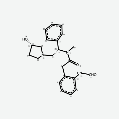 CN(C(=O)Cc1ccccc1NC=O)[C@H](CN1CC[C@H](O)C1)c1ccccc1